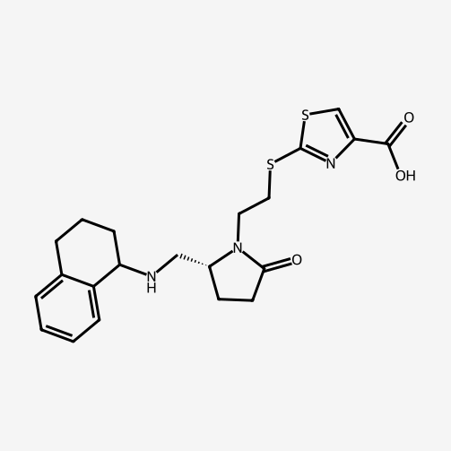 O=C(O)c1csc(SCCN2C(=O)CC[C@@H]2CNC2CCCc3ccccc32)n1